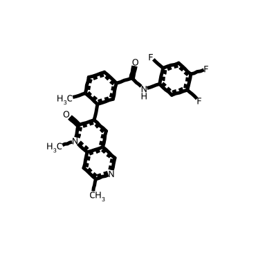 Cc1cc2c(cn1)cc(-c1cc(C(=O)Nc3cc(F)c(F)cc3F)ccc1C)c(=O)n2C